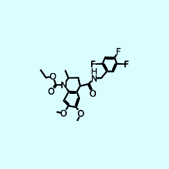 CCOC(=O)N1c2cc(OC)c(OC)cc2C(C(=O)NCc2cc(F)c(F)cc2F)CC1C